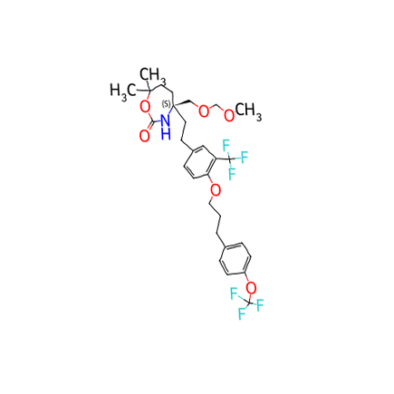 COCOC[C@]1(CCc2ccc(OCCCc3ccc(OC(F)(F)F)cc3)c(C(F)(F)F)c2)CCC(C)(C)OC(=O)N1